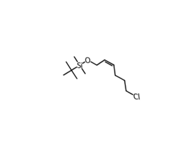 CC(C)(C)[Si](C)(C)OC/C=C\CCCCl